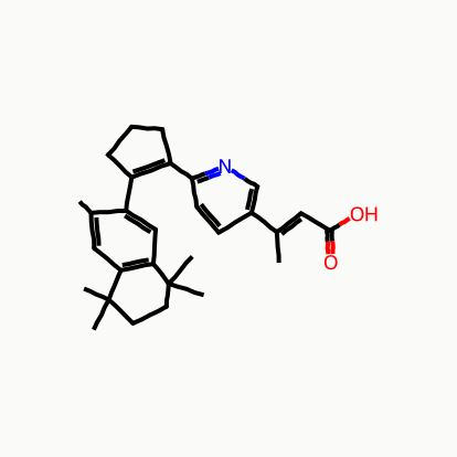 CC(=CC(=O)O)c1ccc(C2=C(c3cc4c(cc3C)C(C)(C)CCC4(C)C)CCC2)nc1